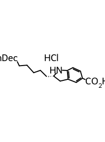 CCCCCCCCCCCCCCC[C@H]1Cc2cc(C(=O)O)ccc2N1.Cl